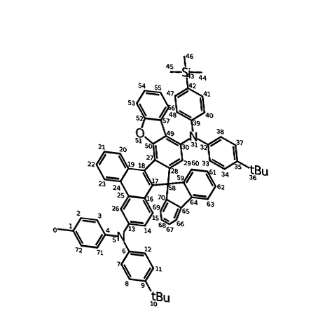 Cc1ccc(N(c2ccc(C(C)(C)C)cc2)c2ccc3c4c(c5ccccc5c3c2)-c2c(cc(N(c3ccc(C(C)(C)C)cc3)c3ccc([Si](C)(C)C)cc3)c3c2oc2ccccc23)C42c3ccccc3-c3ccccc32)cc1